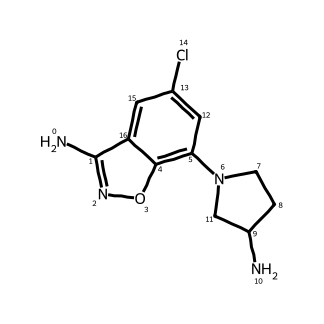 Nc1noc2c(N3CCC(N)C3)cc(Cl)cc12